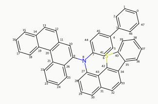 c1ccc(-c2ccc(N(c3cc4ccc5ccccc5c4c4ccccc34)c3cccc4ccc5c6ccccc6sc5c34)cc2)cc1